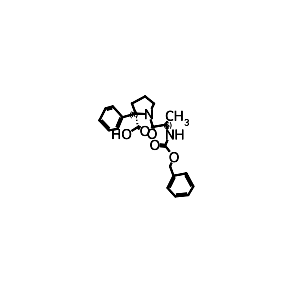 C[C@H](NC(=O)OCc1ccccc1)C(=O)N1CCC[C@]1(C(=O)O)c1ccccc1